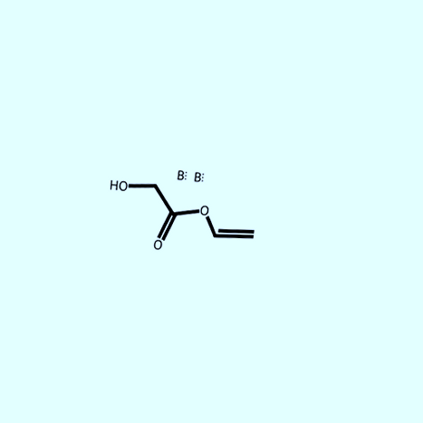 C=COC(=O)CO.[B].[B]